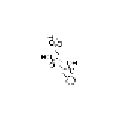 CC(C)(C)OC(=O)CC[C@@H](CC[C@H](Cc1ccccc1)C(=O)O)C(=O)O